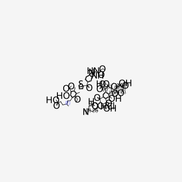 COC(=O)Nc1nc2ccc(C(=O)c3cccs3)cc2[nH]1.COC(=O)[C@@H]1c2cc3c(c(O)c2[C@@H](O[C@@H]2O[C@@H](C)[C@H](OC)[C@@](C)(O)[C@H]2OC)C[C@]1(C)O)C(=O)c1c(O)cc2c(c1C3=O)C[C@H]1C[C@H](N(C)C)C[C@]2(C)O1.COc1c(C)c2c(c(O)c1C/C=C(\C)CCC(=O)O)C(=O)OC2.Cl